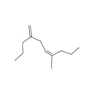 C=C(CC=C(C)CCC)CCC